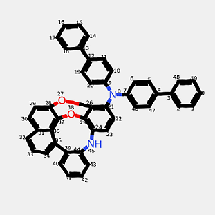 c1ccc(-c2ccc(N(c3ccc(-c4ccccc4)cc3)c3ccc4c5c3Oc3ccc6cccc(c6c3O5)-c3ccccc3N4)cc2)cc1